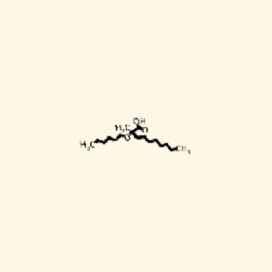 CCCCCCCCC(C)(OCCCCCC)C(=O)O